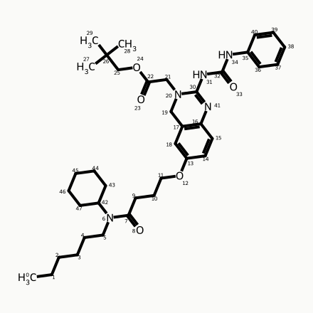 CCCCCCN(C(=O)CCCOc1ccc2c(c1)CN(CC(=O)OCC(C)(C)C)C(NC(=O)Nc1ccccc1)=N2)C1CCCCC1